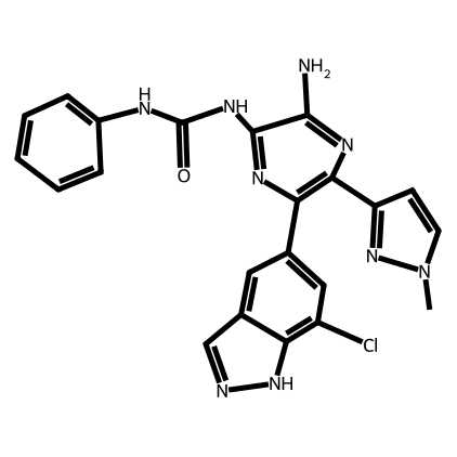 Cn1ccc(-c2nc(N)c(NC(=O)Nc3ccccc3)nc2-c2cc(Cl)c3[nH]ncc3c2)n1